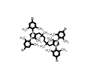 CC1=C(CC(C)(C)CCC(C)(C)CC2=C(C)N(c3c(C)cc(Br)cc3C)CN2c2c(C)cc(Br)cc2C)N(c2c(C)cc(Br)cc2C)CN1c1c(C)cc(Br)cc1C